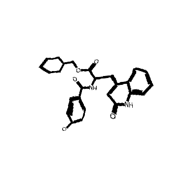 O=C(NC(Cc1cc(=O)[nH]c2ccccc12)C(=O)OCC1CCCCC1)c1ccc(Cl)cc1